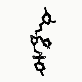 Cc1ccc(S(=O)(=O)OC[C@H]2CO[C@@](CCCc3cc(C)cc(C)c3)(Cn3ccnc3)O2)cc1